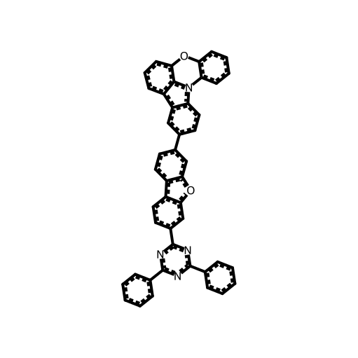 c1ccc(-c2nc(-c3ccccc3)nc(-c3ccc4c(c3)oc3cc(-c5ccc6c(c5)c5cccc7c5n6-c5ccccc5O7)ccc34)n2)cc1